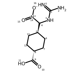 N=C(N)NC([C@H]1CC[C@H](C(=O)O)CC1)[N+](=O)[O-]